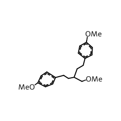 COCC(CCc1ccc(OC)cc1)CCc1ccc(OC)cc1